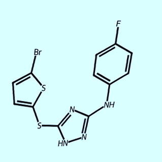 Fc1ccc(Nc2n[nH]c(Sc3ccc(Br)s3)n2)cc1